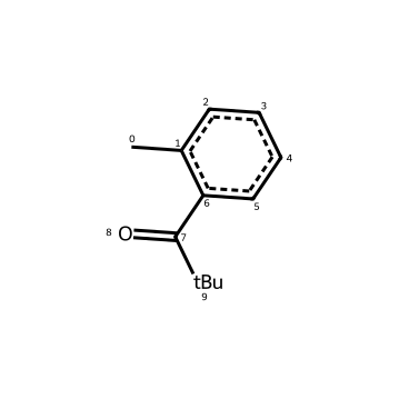 Cc1ccccc1C(=O)C(C)(C)C